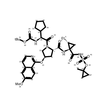 CC[C@@H]1C[C@]1(NC(=O)[C@@H]1C[C@@H](Oc2nccc3cc(OC)ccc23)CN1C(=O)[C@@H](NC(=O)OC(C)(C)C)C1CCCC1)C(=O)NS(=O)(=O)OC1(C)CC1